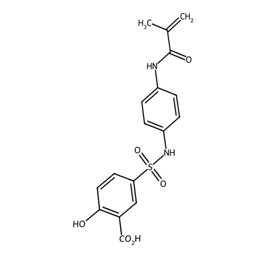 C=C(C)C(=O)Nc1ccc(NS(=O)(=O)c2ccc(O)c(C(=O)O)c2)cc1